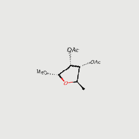 CO[C@H]1O[C@H](C)[C@@H](OC(C)=O)[C@H]1OC(C)=O